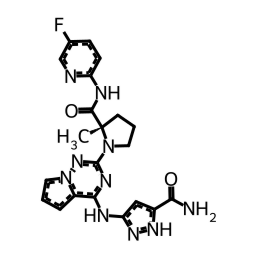 C[C@@]1(C(=O)Nc2ccc(F)cn2)CCCN1c1nc(Nc2cc(C(N)=O)[nH]n2)c2cccn2n1